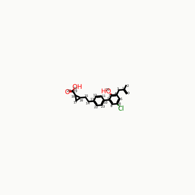 C=C(C)Cc1cc(Cl)cc(-c2ccc(CCC3CC3C(=O)O)cc2)c1O